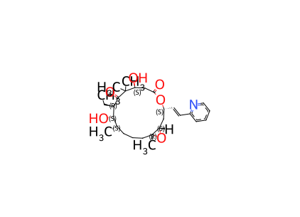 CC[C@H]1C(=O)C(C)(C)[C@@H](O)CC(=O)O[C@H](C=Cc2ccccn2)C[C@@H]2O[C@]2(C)CCC[C@H](C)[C@@H]1O